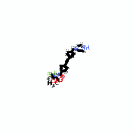 CC(=O)[C@@H](NC(=O)c1ccc(C#Cc2ccc(CN3CCNCC3)cc2)cc1)[C@](C)(O)C(F)F